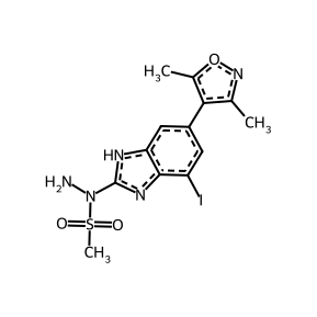 Cc1noc(C)c1-c1cc(I)c2nc(N(N)S(C)(=O)=O)[nH]c2c1